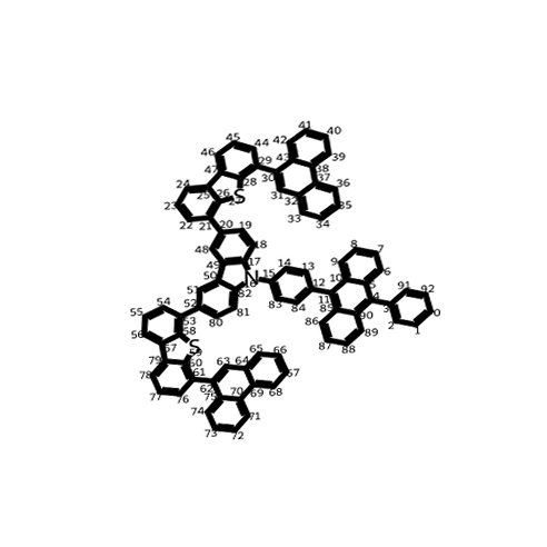 c1ccc(-c2c3ccccc3c(-c3ccc(-n4c5ccc(-c6cccc7c6sc6c(-c8cc9ccccc9c9ccccc89)cccc67)cc5c5cc(-c6cccc7c6sc6c(-c8cc9ccccc9c9ccccc89)cccc67)ccc54)cc3)c3ccccc23)cc1